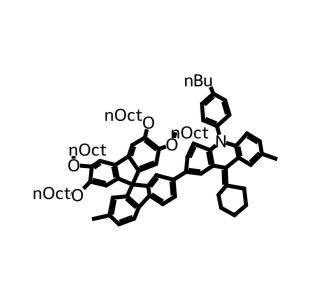 CCCCCCCCOc1cc2c(cc1OCCCCCCCC)C1(c3cc(C)ccc3-c3ccc(-c4ccc5c(c4)C(=C4CCCCC4)c4cc(C)ccc4N5c4ccc(CCCC)cc4)cc31)c1cc(OCCCCCCCC)c(OCCCCCCCC)cc1-2